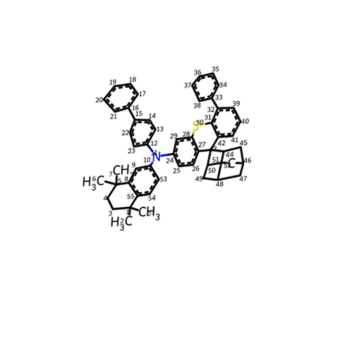 CC1(C)CCC(C)(C)c2cc(N(c3ccc(-c4ccccc4)cc3)c3ccc4c(c3)Sc3c(-c5ccccc5)cccc3C43C4CC5CC6CC3C64C5)ccc21